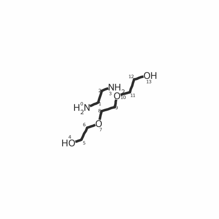 NCCN.OCCOCCOCCO